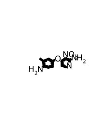 Cc1cc(Oc2ccnc(N)c2[N+](=O)[O-])ccc1N